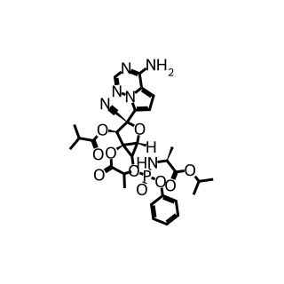 CC(C)OC(=O)[C@H](C)NP(=O)(Oc1ccccc1)OC1[C@H]2O[C@@](C#N)(c3ccc4c(N)ncnn34)[C@H](OC(=O)C(C)C)[C@@]12OC(=O)C(C)C